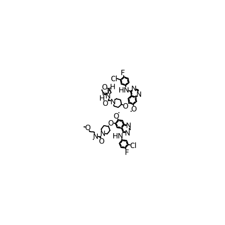 COCCN(C)C(=O)N1CCC(Oc2cc3c(Nc4ccc(F)c(Cl)c4)ncnc3cc2OC)CC1.COc1cc2ncnc(Nc3ccc(F)c(Cl)c3)c2cc1OC1CCN(C(=O)N2C[C@@H]3C[C@H]2CO3)CC1